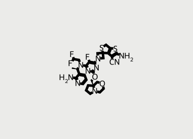 C[C@H](c1cccnc1N)N(CC(F)F)c1nc(OC[C@]23CCCN2CCOC3)nc(N2CC3(C2)SCc2sc(N)c(C#N)c23)c1F